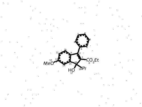 CCOC(=O)C1=C(c2ccccc2)c2ccc(OC)cc2C1(O)C(C)C